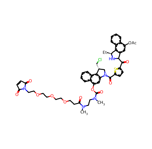 CC[C@@H]1NC(C(=O)c2ccc(C(=O)N3C[C@@H](CCl)c4c3cc(OC(=O)N(C)CCN(C)C(=O)CCOCCOCCOCCN3C(=O)C=CC3=O)c3ccccc43)s2)c2cc(OC(C)=O)c3ccccc3c21